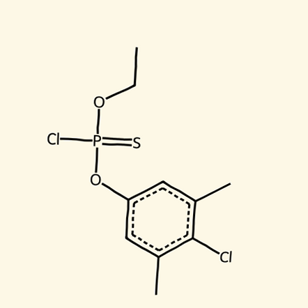 CCOP(=S)(Cl)Oc1cc(C)c(Cl)c(C)c1